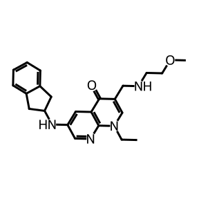 CCn1cc(CNCCOC)c(=O)c2cc(NC3Cc4ccccc4C3)cnc21